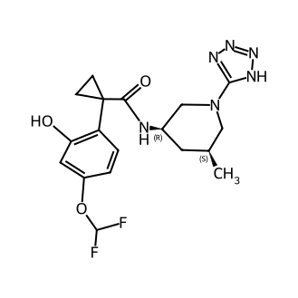 C[C@H]1C[C@@H](NC(=O)C2(c3ccc(OC(F)F)cc3O)CC2)CN(c2nnn[nH]2)C1